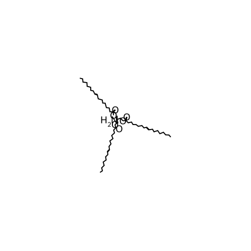 CCCCCCCCC=CCCCCCCCC(=O)OCC(N)(COC(=O)CCCCCCCC=CCCCCCCCC)COC(=O)CCCCCCCC=CCCCCCCCC